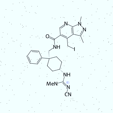 CN/C(=N\C#N)N[C@H]1CC[C@](CNC(=O)c2cnc3c(c(C)nn3C)c2CI)(c2ccccc2)CC1